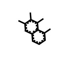 Cc1[c]c2cccc(C)c2c(C)c1C